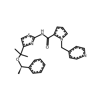 C[C@@H](OC(C)(C)c1csc(NC(=O)c2cccn2Cc2ccncc2)n1)c1ccccc1